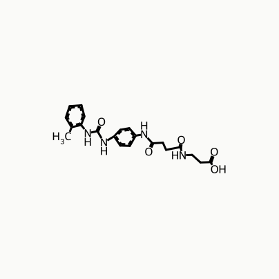 Cc1ccccc1NC(=O)Nc1ccc(NC(=O)CCC(=O)NCCC(=O)O)cc1